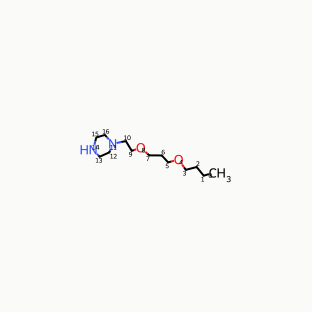 CCCCOCCCOCCN1CCNCC1